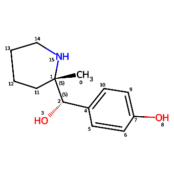 C[C@@]1([C@@H](O)c2ccc(O)cc2)CCCCN1